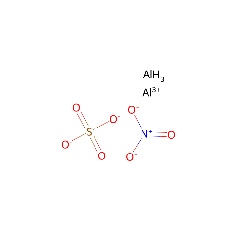 O=S(=O)([O-])[O-].O=[N+]([O-])[O-].[Al+3].[AlH3]